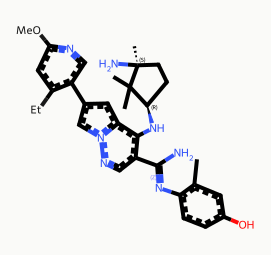 CCc1cc(OC)ncc1-c1cc2c(N[C@@H]3CC[C@](C)(N)C3(C)C)c(/C(N)=N/c3ccc(O)cc3C)cnn2c1